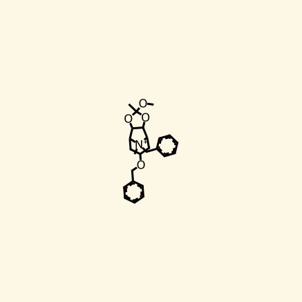 COC1(C)OC2C(O1)C1CC(OCc3ccccc3)CC2[N+]1(C)Cc1ccccc1